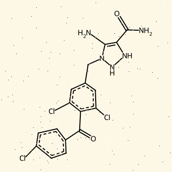 NC(=O)C1=C(N)N(Cc2cc(Cl)c(C(=O)c3ccc(Cl)cc3)c(Cl)c2)NN1